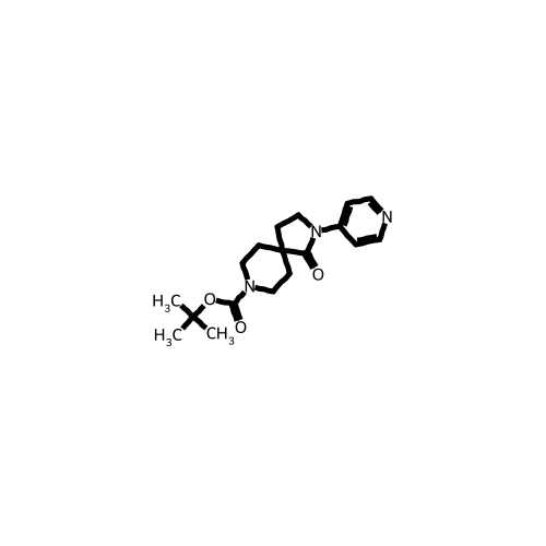 CC(C)(C)OC(=O)N1CCC2(CC1)CCN(c1ccncc1)C2=O